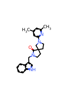 Cc1cc(C)nc(N2CCC3(CCN(Cc4c[nH]c5ccccc45)C3=O)C2)c1